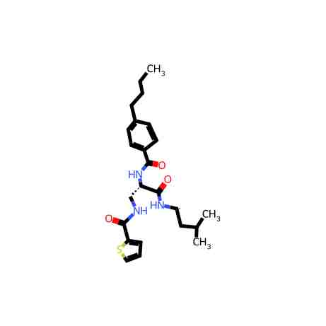 CCCCc1ccc(C(=O)N[C@@H](CNC(=O)c2cccs2)C(=O)N[CH]CC(C)C)cc1